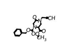 C#CCN1CC(C(=O)OC)N(C(=O)OCc2ccccc2)CC1=O